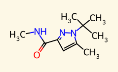 CNC(=O)c1cc(C)n(C(C)(C)C)n1